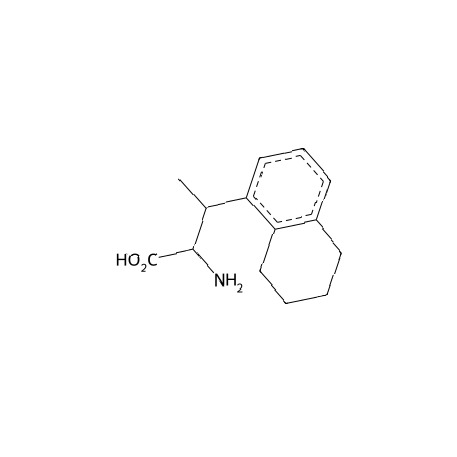 CC(c1cccc2c1CCCC2)C(N)C(=O)O